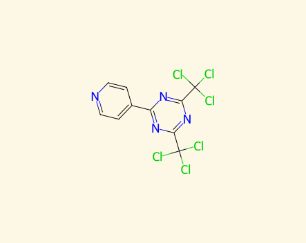 ClC(Cl)(Cl)c1nc(-c2ccncc2)nc(C(Cl)(Cl)Cl)n1